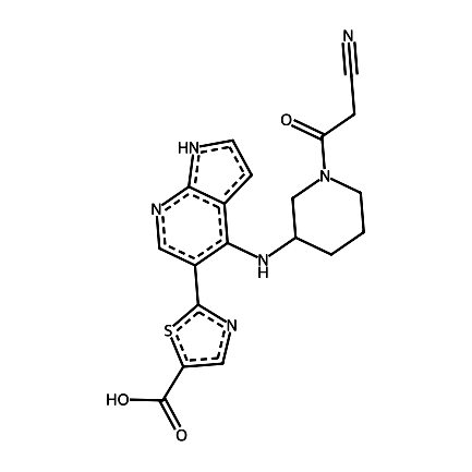 N#CCC(=O)N1CCCC(Nc2c(-c3ncc(C(=O)O)s3)cnc3[nH]ccc23)C1